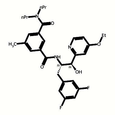 CCCN(CCC)C(=O)c1cc(C)cc(C(=O)N[C@@H](Cc2cc(F)cc(F)c2)[C@H](O)c2cc(OCC)ccn2)c1